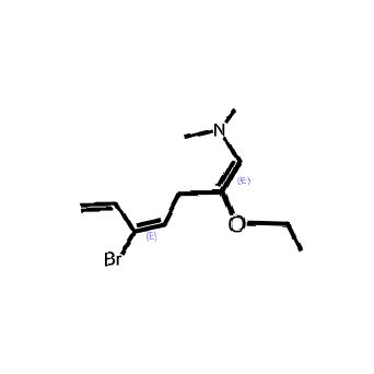 C=C/C(Br)=C\C/C(=C\N(C)C)OCC